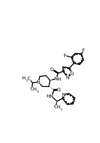 CC(C)N1CC[C@@H](NC(=O)c2cc(-c3ccc(F)cc3F)on2)[C@H](C(=O)N[C@H](C)c2ccccn2)C1